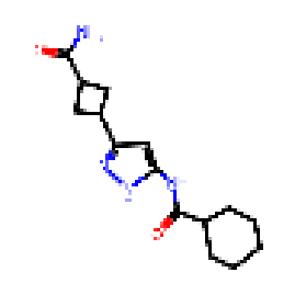 NC(=O)C1CC(c2cc(NC(=O)C3CCCCC3)[nH]n2)C1